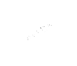 COc1cc(=O)n(CCN2CCC(NCc3ccc4c(c3)OCCO4)CC2)c2cc(C)ccc12